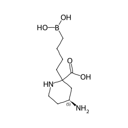 N[C@H]1CCNC(CCCCB(O)O)(C(=O)O)C1